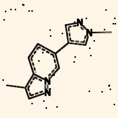 Cc1cnn2cc(-c3cnn(C)c3)ccc12